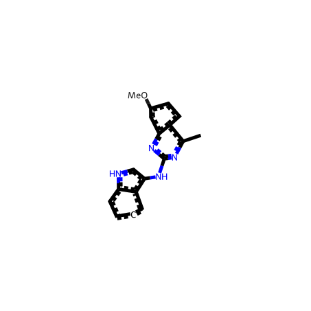 COc1ccc2c(C)nc(Nc3c[nH]c4ccccc34)nc2c1